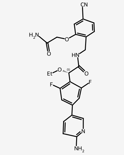 CCO[C@H](C(=O)NCc1ccc(C#N)cc1OCC(N)=O)c1c(F)cc(-c2ccc(N)nc2)cc1F